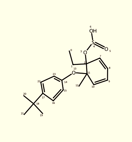 CCC1(OS(=O)O)C=CC=CC1(C)Oc1ccc(C(C)(C)C)cc1